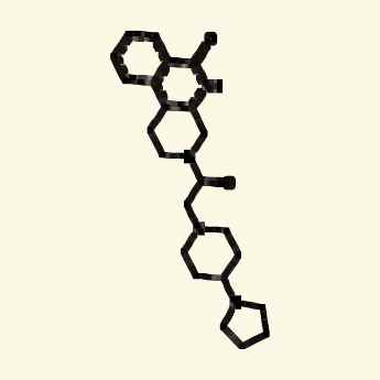 O=C(CN1CCC(N2CCCC2)CC1)N1CCc2c([nH]c(=O)c3ccccc23)C1